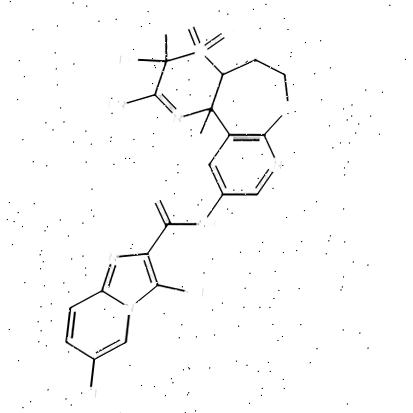 Cc1c(C(=O)Nc2cnc3c(c2)C2(C)N=C(N)C(C)(C)S(=O)(=O)C2CCO3)nc2ccc(Cl)cn12